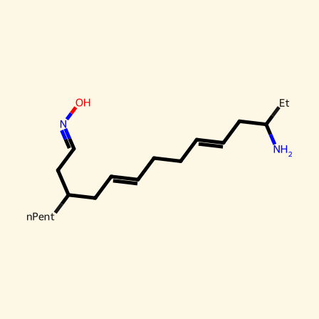 CCCCCC(CC=CCCC=CCC(N)CC)CC=NO